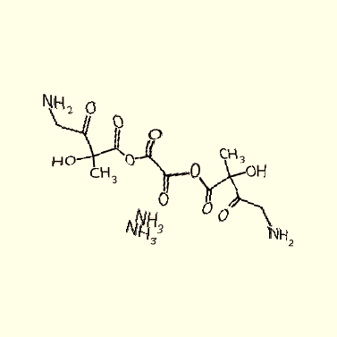 CC(O)(C(=O)CN)C(=O)OC(=O)C(=O)OC(=O)C(C)(O)C(=O)CN.N.N